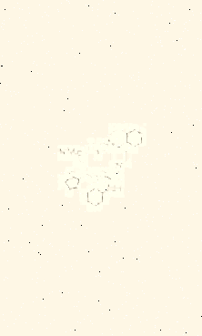 CNCC[C@H](Oc1ccccc1NC(=O)CN1CCC2(CC1)c1ccccc1CCN2C)c1cccs1